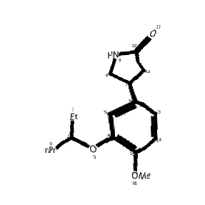 CCCC(CC)Oc1cc(C2CNC(=O)C2)ccc1OC